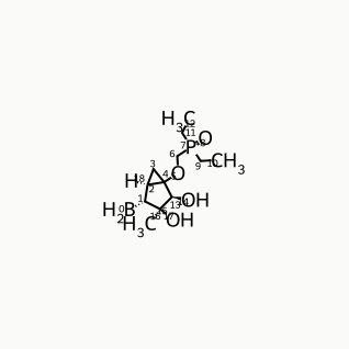 B[C@@H]1[C@H]2CC2(OCP(=O)(CC)CC)[C@@H](O)[C@@]1(C)O